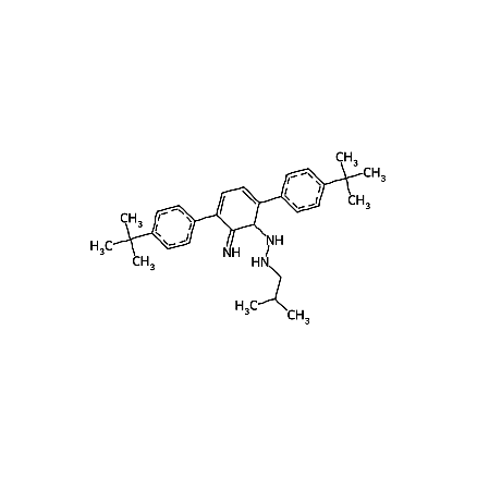 CC(C)CNNC1C(=N)C(c2ccc(C(C)(C)C)cc2)=CC=C1c1ccc(C(C)(C)C)cc1